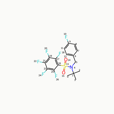 CC(C)(C)N(Cc1ccc(F)cc1)S(=O)(=O)c1c(F)c(F)c(F)c(F)c1F